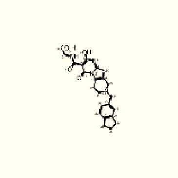 O=C(O)CNC(=O)c1c(O)nc2sc3c(n2c1=O)CCN(Cc1ccc2c(c1)CCC2)C3